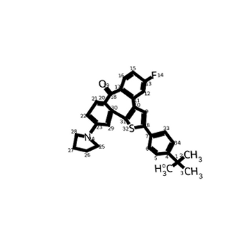 CC(C)(C)c1ccc(-c2cc3c4cc(F)ccc4c(=O)c4ccc(N5CCCC5)cc4c3s2)cc1